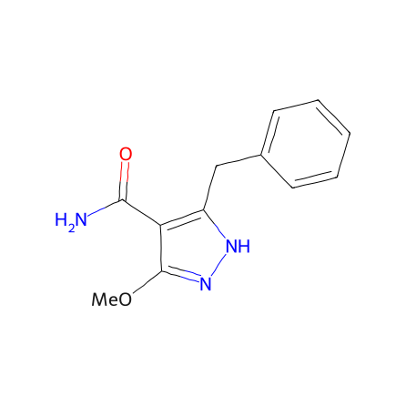 COc1n[nH]c(Cc2ccccc2)c1C(N)=O